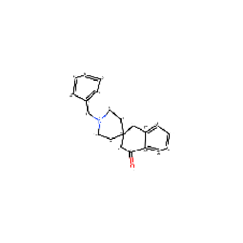 O=C1CC2(CCN(Cc3ccccc3)CC2)Cc2ccccc21